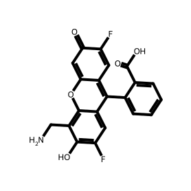 NCc1c(O)c(F)cc2c(-c3ccccc3C(=O)O)c3cc(F)c(=O)cc-3oc12